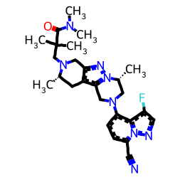 C[C@@H]1CN(c2ccc(C#N)n3ncc(F)c23)Cc2c3c(nn21)CN(CC(C)(C)C(=O)N(C)C)[C@@H](C)C3